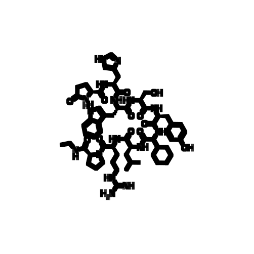 CCNC(=O)[C@@H]1CCCN1C(=O)[C@H](CCCNC(=N)N)NC(=O)[C@H](CC(C)C)NC(=O)C(NC(=O)[C@H](Cc1ccc(O)cc1)NC(=O)[C@H](CO)NC(=O)[C@H](Cc1c[nH]c2ccccc12)NC(=O)[C@H](Cc1c[nH]cn1)NC(=O)[C@@H]1CCC(=O)N1)C1CCCCC1